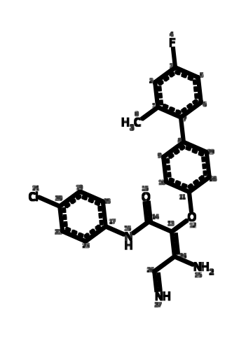 Cc1cc(F)ccc1-c1ccc(O/C(C(=O)Nc2ccc(Cl)cc2)=C(\N)C=N)cc1